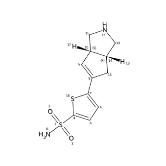 NS(=O)(=O)c1ccc(C2=C[C@@H]3CNC[C@@H]3C2)s1